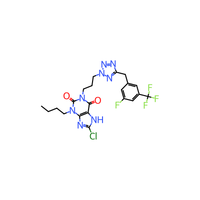 CCCCn1c(=O)n(CCCn2nnc(Cc3cc(F)cc(C(F)(F)F)c3)n2)c(=O)c2[nH]c(Cl)nc21